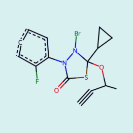 C#CC(C)OC1(C2CC2)SC(=O)N(c2ccccc2F)N1Br